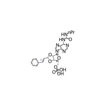 CCCNC(=O)Nc1ncnc2c1ncn2[C@@H]1O[C@H](COP(=O)(O)O)C2OC(/C=C/c3ccccc3)OC21